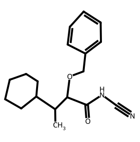 CC(C1CCCCC1)C(OCc1ccccc1)C(=O)NC#N